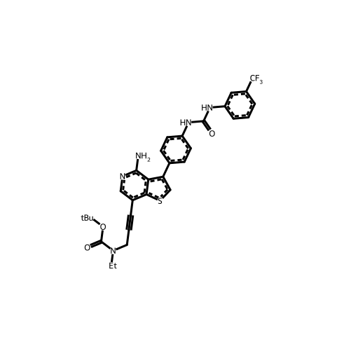 CCN(CC#Cc1cnc(N)c2c(-c3ccc(NC(=O)Nc4cccc(C(F)(F)F)c4)cc3)csc12)C(=O)OC(C)(C)C